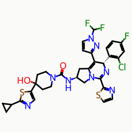 O=C(N[C@H]1CC2=C(c3ccn(C(F)F)n3)[C@H](c3ccc(F)cc3Cl)N=C(c3nccs3)N2C1)N1CCC(O)(c2cnc(C3CC3)s2)CC1